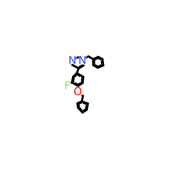 Fc1cc(C2=CN(Cc3ccccc3)CN=C2)ccc1OCc1ccccc1